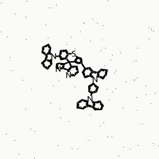 c1cnc2c(c1)C1(c3cc(-c4ccc5c(c4)c4ccccc4n5-c4ccc(-n5c6ccccc6c6ccccc65)cc4)ccc3Sc3ccc(-n4c5ccccc5c5ccccc54)cc31)c1cccnc1-2